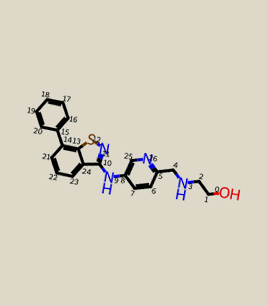 OCCNCc1ccc(Nc2nsc3c(-c4ccccc4)cccc23)cn1